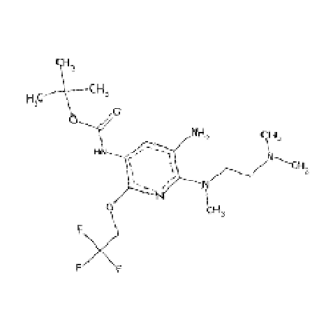 CN(C)CCN(C)c1nc(OCC(F)(F)F)c(NC(=O)OC(C)(C)C)cc1N